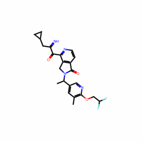 Cc1cc(C(C)N2Cc3c(ccnc3C(=O)C(=N)CC3CC3)C2=O)cnc1OCC(F)F